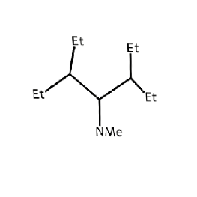 CCC(CC)C(NC)C(CC)CC